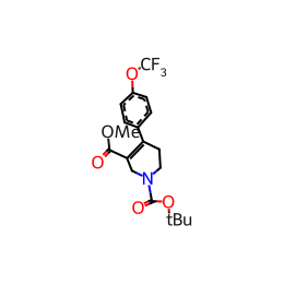 COC(=O)C1=C(c2ccc(OC(F)(F)F)cc2)CCN(C(=O)OC(C)(C)C)C1